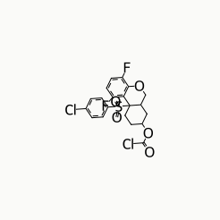 O=C(Cl)OC1CCC2(S(=O)(=O)c3ccc(Cl)cc3)c3c(F)ccc(F)c3OCC2C1